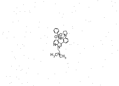 CN(C)CCn1cc(-c2cccc(N3CCCC3)c2)c2c(NS(=O)(=O)c3ccccc3)ccnc21